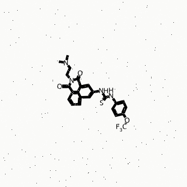 CN(C)CCN1C(=O)c2cccc3cc(NC(=S)Nc4ccc(OC(F)(F)F)cc4)cc(c23)C1=O